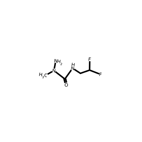 CN(N)C(=O)NCC(F)F